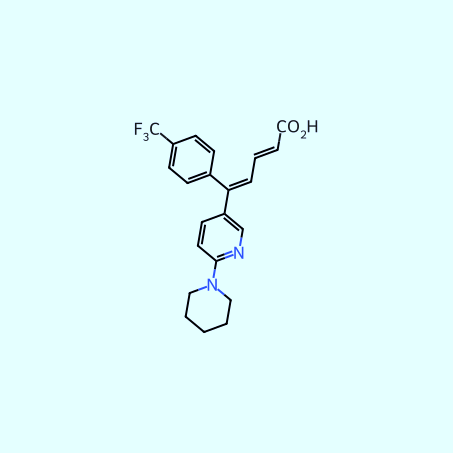 O=C(O)/C=C/C=C(\c1ccc(C(F)(F)F)cc1)c1ccc(N2CCCCC2)nc1